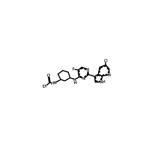 CCC(=O)NC1CCCC(Nc2nc(-c3c[nH]c4ncc(Cl)cc34)ncc2F)C1